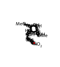 CC[C@H]1OC(=O)[C@H](C)[C@@H](O[C@H]2C[C@@](C)(OC)[C@@H](O)[C@H](C)O2)[C@H](C)[C@@H](O[C@@H]2O[C@H](C)C[C@H](N(C)CCc3cn(C(CF)Cc4ccc([N+](=O)[O-])cc4)nn3)[C@H]2O)[C@](C)(O)C[C@@H](C)/C(=N\OCOCCOC)[C@H](C)[C@@H](O)[C@]1(C)O